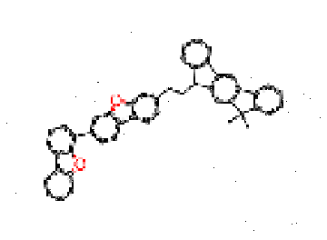 CC1(C)c2ccccc2-c2cc3c(cc21)C(CCc1ccc2c(c1)oc1cc(-c4cccc5c4oc4ccccc45)ccc12)c1ccccc1-3